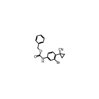 N#CC1(c2ccc(NC(=O)OCc3ccccc3)cc2Br)CC1